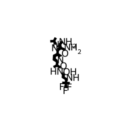 CC(C(=O)N/C(O)=C/C(=N)C(C)(C)C(F)(F)F)c1ccc(-c2nn(C(C)C)c(N)c2C(N)=O)cn1